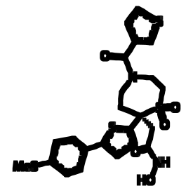 CSc1ccc(-c2ccc([C@@]3(CC(=O)NO)CCN(C(=O)c4ccsc4)CCS3(=O)=O)s2)cc1